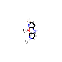 COc1nc(Br)ccc1NC1CCN(C)CC1